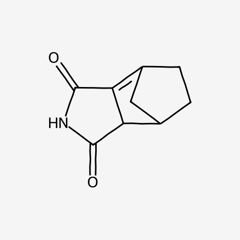 O=C1NC(=O)C2C1=C1CCC2C1